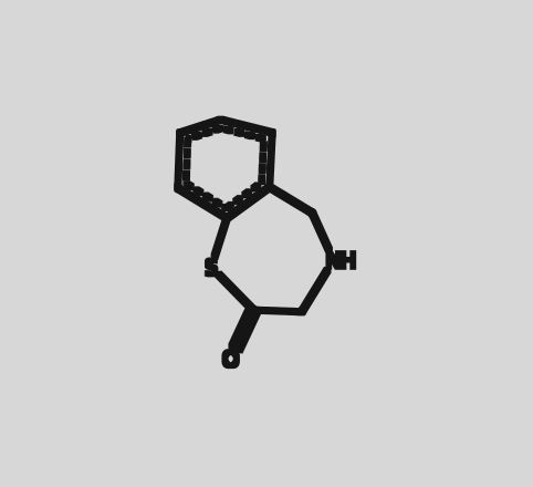 O=C1CNCc2ccccc2S1